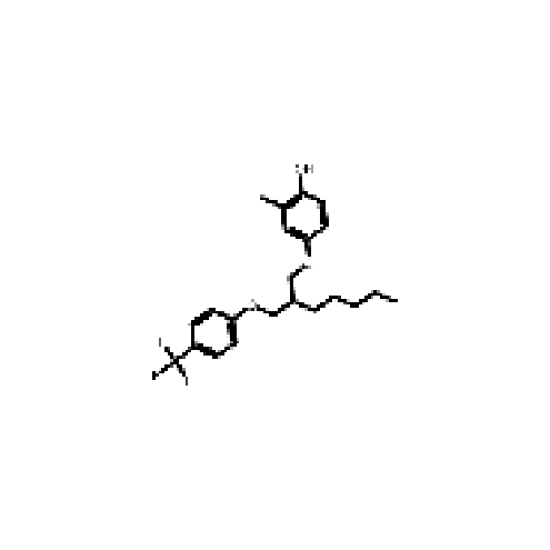 CCCCCC(COc1ccc(C(F)(F)F)cc1)CSc1ccc(O)c(C)c1